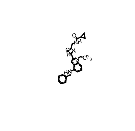 O=C(NCc1nc(-c2cc3c(NCc4ccccc4)cccc3n2CC(F)(F)F)no1)C1CC1